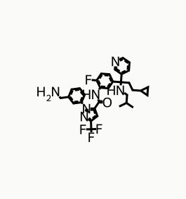 CC(C)CNC(CCC1CC1)(c1cccnc1)c1ccc(F)c(NC(=O)c2cc(C(F)(F)F)nn2-c2cccc(CN)c2)c1